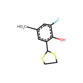 O=C(O)c1cc(F)c(O)c(C2SCCS2)c1